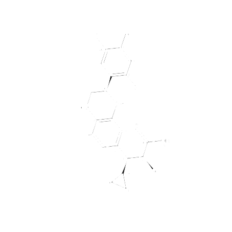 Cc1cc(C)c([C@@H]2COc3ccc([C@H](C4CC4)[C@H](C)C(=O)O)cc3O2)cc1C